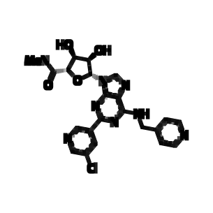 CNC(=O)[C@H]1O[C@@H](n2cnc3c(NCc4ccncc4)nc(-c4cncc(Cl)c4)nc32)[C@H](O)[C@@H]1O